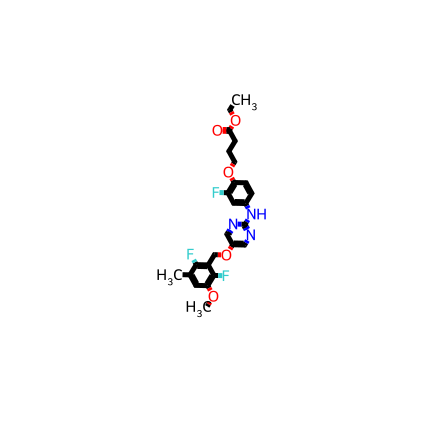 CCOC(=O)CCCOc1ccc(Nc2ncc(OCc3c(F)c(C)cc(OC)c3F)cn2)cc1F